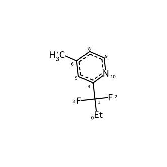 CCC(F)(F)c1cc(C)ccn1